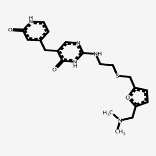 CN(C)Cc1ccc(CSCCNc2ncc(Cc3cc[nH]c(=O)c3)c(=O)[nH]2)o1